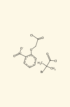 CC(C)(Br)C(=O)Cl.O=C(Cl)COc1ccccc1[N+](=O)[O-]